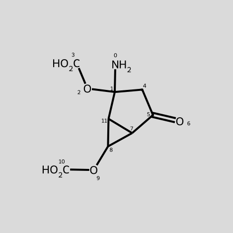 NC1(OC(=O)O)CC(=O)C2C(OC(=O)O)C21